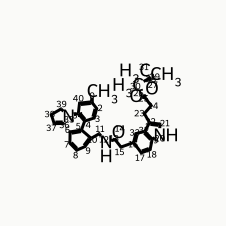 Cc1ccc(-c2ccccc2CNC(=O)Cc2ccc3[nH]cc(CCC(=O)OC(C)(C)C)c3c2)c(N2C=CCC2)c1